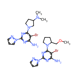 CN(C)C1CCN(c2nc(-n3cccn3)nc(N)c2Br)C1.COCC1CCCN1c1nc(-n2cccn2)nc(N)c1Br